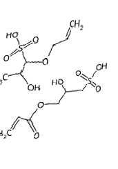 C=CC(=O)OCC(O)CS(=O)(=O)O.C=CCOC(C(C)O)S(=O)(=O)O